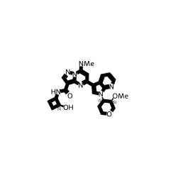 CNc1cc(-c2cn([C@H]3CCOC[C@H]3OC)c3ncccc23)nc2c(C(=O)NC3CC[C@@H]3O)cnn12